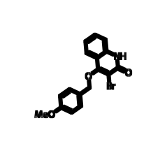 COc1ccc(COc2c(Br)c(=O)[nH]c3ccccc23)cc1